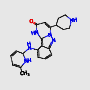 CC1=CC=CC(Nc2cccc3nn4c(C5CCNCC5)cc(=O)[nH]c4c23)N1